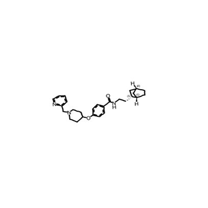 O=C(NCC[C@@H]1C[C@@H]2CC[C@H]1C2)c1ccc(OC2CCN(Cc3ccccn3)CC2)cc1